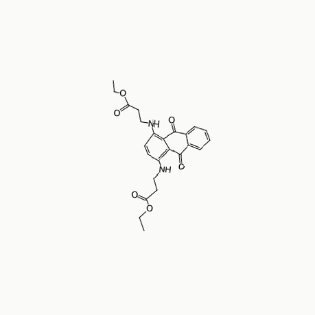 CCOC(=O)CCNc1ccc(NCCC(=O)OCC)c2c1C(=O)c1ccccc1C2=O